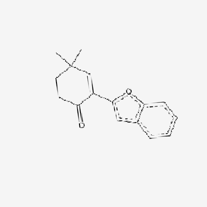 CC1(C)C=C(c2cc3ccccc3o2)C(=O)CC1